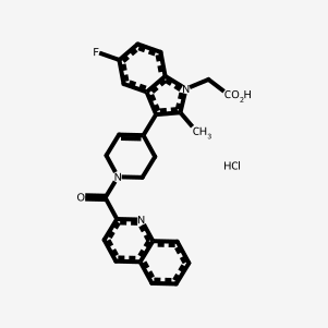 Cc1c(C2=CCN(C(=O)c3ccc4ccccc4n3)CC2)c2cc(F)ccc2n1CC(=O)O.Cl